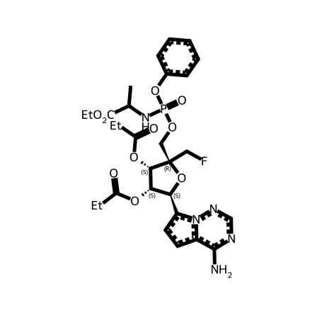 CCOC(=O)C(C)NP(=O)(OC[C@@]1(CF)O[C@@H](c2ccc3c(N)ncnn23)[C@H](OC(=O)CC)[C@@H]1OC(=O)CC)Oc1ccccc1